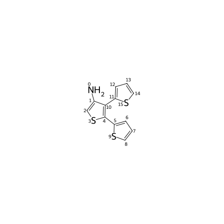 Nc1csc(-c2cccs2)c1-c1cccs1